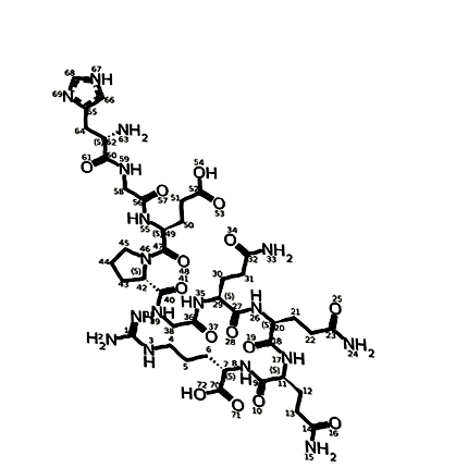 N=C(N)NCCC[C@H](NC(=O)[C@H](CCC(N)=O)NC(=O)[C@H](CCC(N)=O)NC(=O)[C@H](CCC(N)=O)NC(=O)CNC(=O)[C@@H]1CCCN1C(=O)[C@H](CCC(=O)O)NC(=O)CNC(=O)[C@@H](N)Cc1c[nH]cn1)C(=O)O